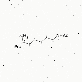 CC(=O)NCCCCC[C@@H](C)C(C)C